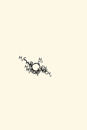 CCCCCCC(=O)O[C@H]1[C@@H](C)/C=C\C/C(C)=C\C[C@@H](/C(C)=C/c2csc(C)n2)NC(=O)C[C@H](O)C(C)(C)C(=O)[C@@H]1C